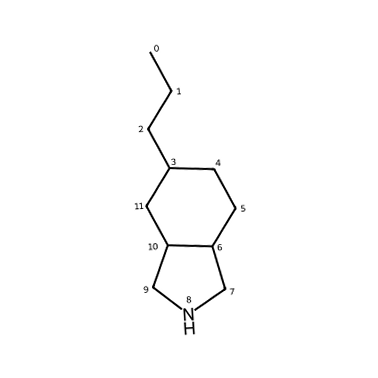 CCCC1CCC2CNCC2C1